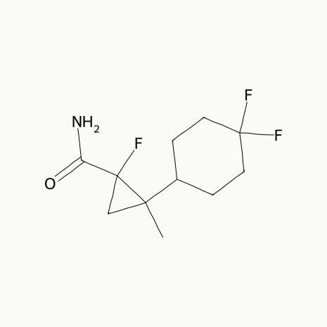 CC1(C2CCC(F)(F)CC2)CC1(F)C(N)=O